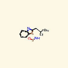 CCCCC(CC)Cc1nc2ccccc2s1.N=S=O